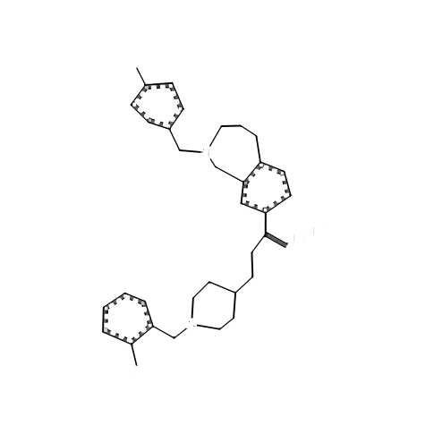 Cl.Cl.O=C(CCC1CCN(Cc2ccccc2Cl)CC1)c1ccc2c(c1)CN(Cc1ccc(F)cc1)CCC2